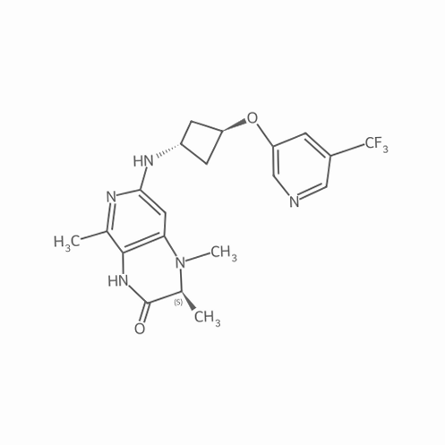 Cc1nc(N[C@H]2C[C@H](Oc3cncc(C(F)(F)F)c3)C2)cc2c1NC(=O)[C@H](C)N2C